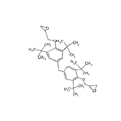 CC(C)(C)c1cc(Cc2cc(C(C)(C)C)c(OCC3CO3)c(C(C)(C)C)c2)cc(C(C)(C)C)c1OCC1CO1